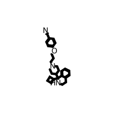 N#Cc1ccc(OCCCN2CCC(C3(C4CCC4)NCCc4ccccc43)CC2)cc1